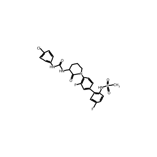 CS(=O)(=O)Nc1ccc(F)cc1-c1ccc(N2CCCC(NC(=O)Nc3ccc(Cl)cc3)C2=O)c(F)c1